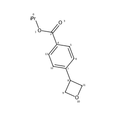 CC(C)OC(=O)c1ccc(C2COC2)cc1